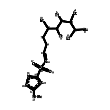 CCC(C)C(CC)C(CC)C(CC)C(CC)C(CC)CC/C=N/S(=O)(=O)c1nnc(NC(C)=O)s1